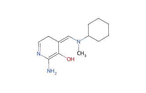 CN(C=C1CC=NC(N)=C1O)C1CCCCC1